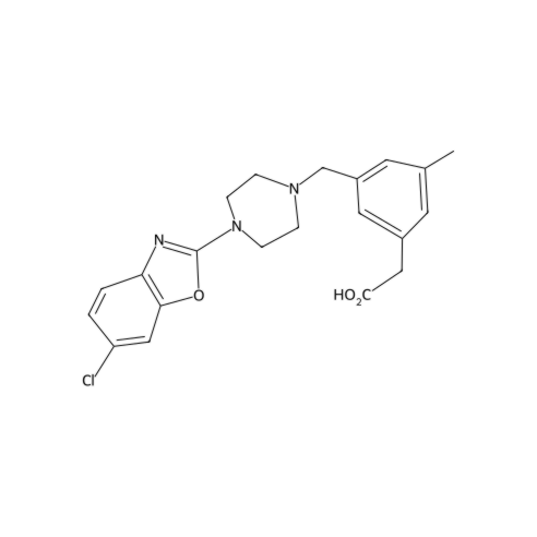 Cc1cc(CC(=O)O)cc(CN2CCN(c3nc4ccc(Cl)cc4o3)CC2)c1